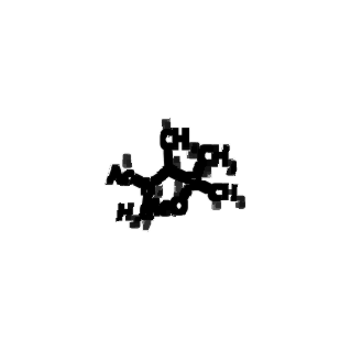 CO[Si](C)(C)C(C)N(C)C(C)=O